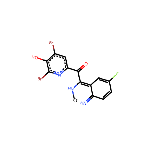 CCN/C(C(=O)c1cc(Br)c(O)c(Br)n1)=C1/C=C(F)C=CC1=N